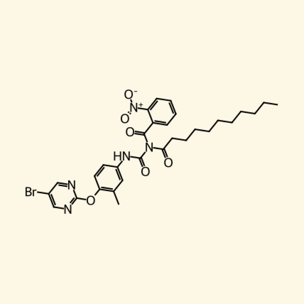 CCCCCCCCCCC(=O)N(C(=O)Nc1ccc(Oc2ncc(Br)cn2)c(C)c1)C(=O)c1ccccc1[N+](=O)[O-]